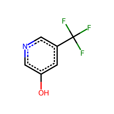 Oc1cncc(C(F)(F)F)c1